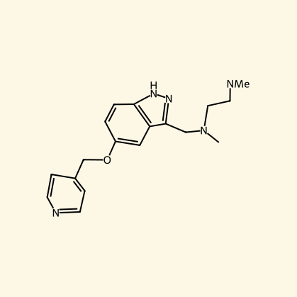 CNCCN(C)Cc1n[nH]c2ccc(OCc3ccncc3)cc12